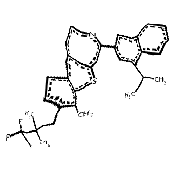 Cc1c(CC(C)(C)C(F)(F)F)ccc2c1sc1c(-c3cc(C(C)C)c4ccccc4c3)nccc12